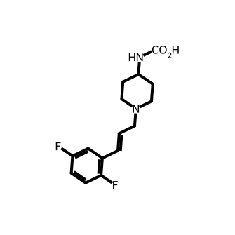 O=C(O)NC1CCN(CC=Cc2cc(F)ccc2F)CC1